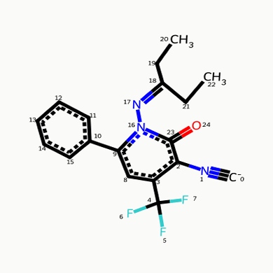 [C-]#[N+]c1c(C(F)(F)F)cc(-c2ccccc2)n(N=C(CC)CC)c1=O